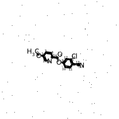 COc1ccc(C(=O)Oc2ccc(C#N)c(Cl)c2)nc1